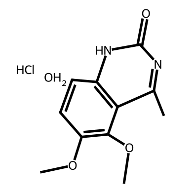 COc1ccc2[nH]c(=O)nc(C)c2c1OC.Cl.O